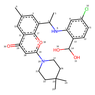 Cc1cc(C(C)Nc2cc(Cl)ccc2C(O)O)c2oc(N3CCC(C)(C)CC3)cc(=O)c2c1